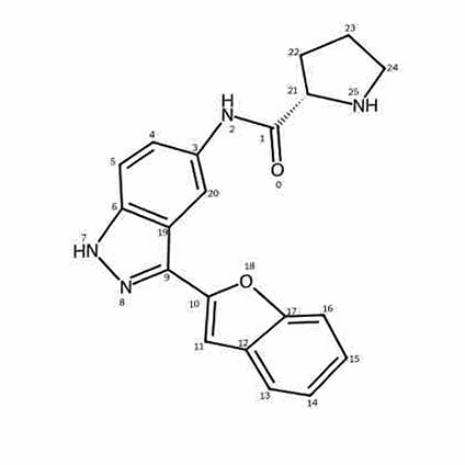 O=C(Nc1ccc2[nH]nc(-c3cc4ccccc4o3)c2c1)[C@@H]1CCCN1